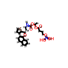 CC(OC(=O)CCCON(O)O)OC(=O)N(C)CC[C@H](Oc1cccc2ccccc12)c1cccs1